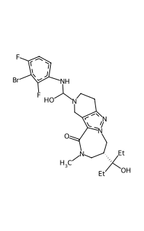 CCC(O)(CC)[C@@H]1CN(C)C(=O)c2c3c(nn2C1)CCN(C(O)Nc1ccc(F)c(Br)c1F)C3